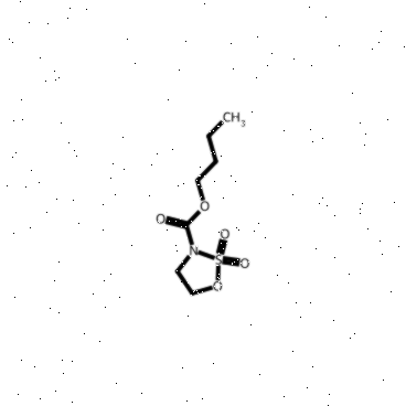 CCCCOC(=O)N1CCOS1(=O)=O